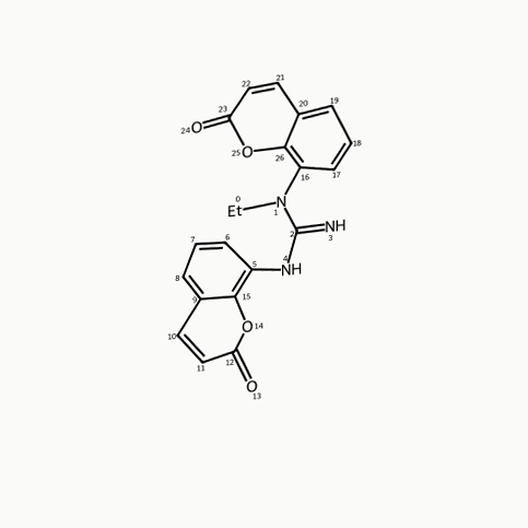 CCN(C(=N)Nc1cccc2ccc(=O)oc12)c1cccc2ccc(=O)oc12